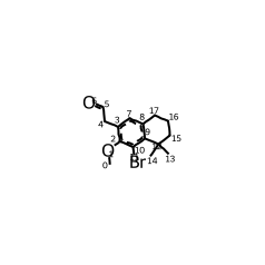 COc1c(CC=O)cc2c(c1Br)C(C)(C)CCC2